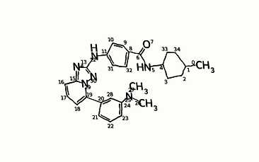 CC1CCC(NC(=O)c2ccc(Nc3nc4cccc(-c5cccc(N(C)C)c5)n4n3)cc2)CC1